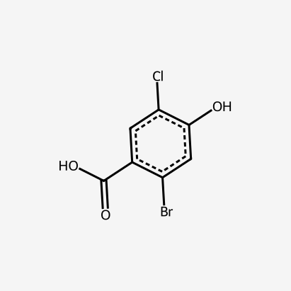 O=C(O)c1cc(Cl)c(O)cc1Br